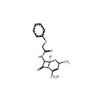 CC1C=C(C(=O)O)N2C(=O)C(NC(=O)CSc3ccccc3)[C@H]2S1